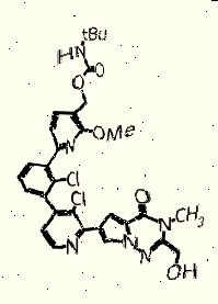 COc1nc(-c2cccc(-c3ccnc(-c4cc5c(=O)n(C)c(CO)nn5c4)c3Cl)c2Cl)ccc1COC(=O)NC(C)(C)C